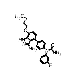 COCCOc1ccc(-c2ccc(N(C(N)=O)c3cccc(F)c3)cc2)c2c(N)n[nH]c12